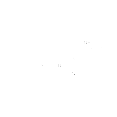 O=C1NCCn2c(N3CCN(c4ccccc4)CC3)nc3cccc1c32